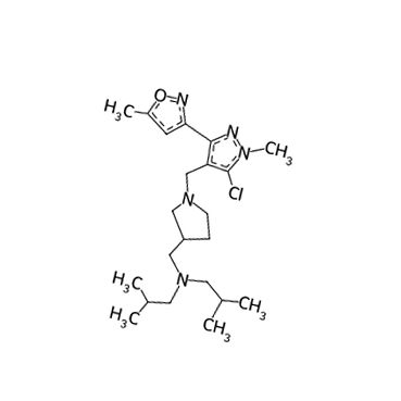 Cc1cc(-c2nn(C)c(Cl)c2CN2CCC(CN(CC(C)C)CC(C)C)C2)no1